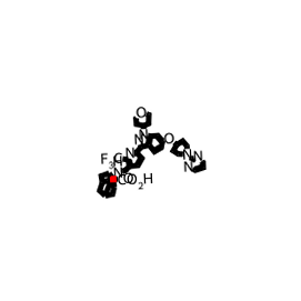 O=C(NC1(C(=O)O)C2CC3CC(C2)CC1C3)c1ccc(-c2nn(C3CCOCC3)c3cc(OC4CCN(c5ncccn5)CC4)ccc23)nc1C(F)(F)F